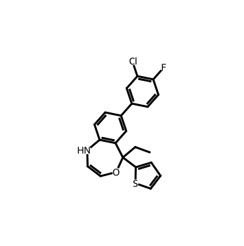 CCC1(c2cccs2)OC=CNc2ccc(-c3ccc(F)c(Cl)c3)cc21